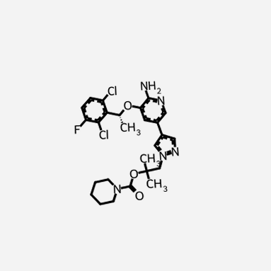 C[C@@H](Oc1cc(-c2cnn(CC(C)(C)OC(=O)N3CCCCC3)c2)cnc1N)c1c(Cl)ccc(F)c1Cl